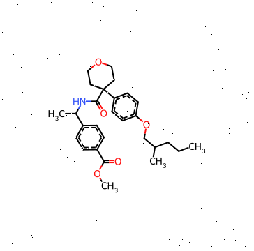 CCCC(C)COc1ccc(C2(C(=O)NC(C)c3ccc(C(=O)OC)cc3)CCOCC2)cc1